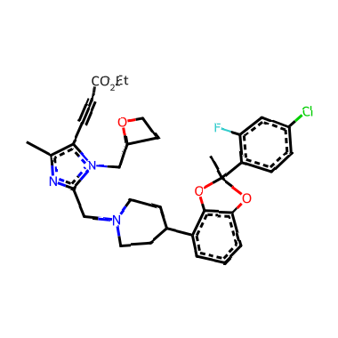 CCOC(=O)C#Cc1c(C)nc(CN2CCC(c3cccc4c3OC(C)(c3ccc(Cl)cc3F)O4)CC2)n1CC1CCO1